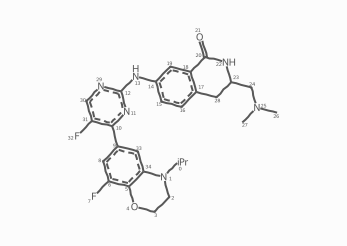 CC(C)N1CCOc2c(F)cc(-c3nc(Nc4ccc5c(c4)C(=O)NC(CN(C)C)C5)ncc3F)cc21